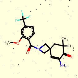 COc1cc(C(F)(F)F)ccc1C(=O)N1CC2(C=C(N)C(=O)C(C)(C)C2)C1